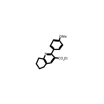 CCOC(=O)c1cc2c(nc1-c1ccc(OC)cc1)CCCC2